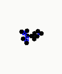 c1ccc([Si](c2ccccc2)(c2ccc(-c3cc(-n4c5ccccc5n5c6ccccc6nc45)nc(-n4c5ccccc5n5c6ccccc6nc45)n3)cc2)c2cccc(-n3c4ccccc4c4ccccc43)c2)cc1